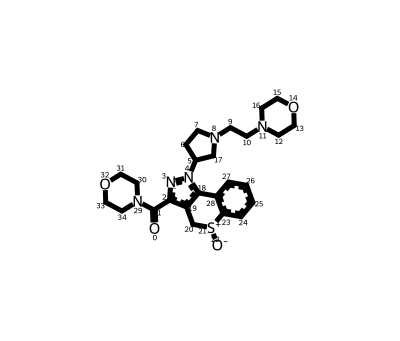 O=C(c1nn(C2CCN(CCN3CCOCC3)C2)c2c1C[S+]([O-])c1ccccc1-2)N1CCOCC1